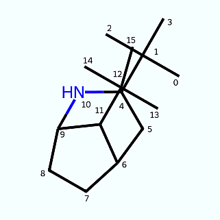 CC(C)(C)C1CC2CCC(N1)C2C(C)(C)C